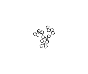 c1ccc(C2(c3ccccc3)c3ccccc3-c3c(N(c4ccc(-c5cccc6oc7c8ccccc8ccc7c56)cc4)c4cccc(-c5cccc6oc7c8ccccc8ccc7c56)c4)cccc32)cc1